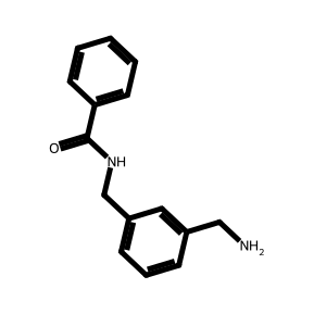 NCc1cccc(CNC(=O)c2ccccc2)c1